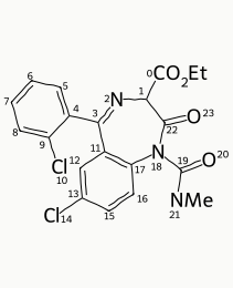 CCOC(=O)C1N=C(c2ccccc2Cl)c2cc(Cl)ccc2N(C(=O)NC)C1=O